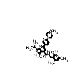 Cc1cc(C)c(CNC(=O)c2cc(-c3ccc(N4CCN(C)CC4)nc3)nc3c2c(C)nn3C(C)C)c(=O)[nH]1